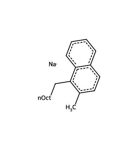 CCCCCCCCCc1c(C)ccc2ccccc12.[Na]